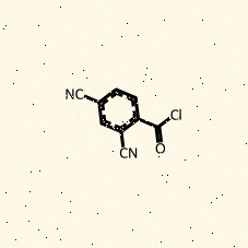 N#Cc1ccc(C(=O)Cl)c(C#N)c1